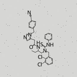 CCC(CN(Cc1cccc(Cl)c1Cl)C(=S)Nc1ccccc1)NC(=O)Cc1cncn1Cc1ccc(C#N)cc1